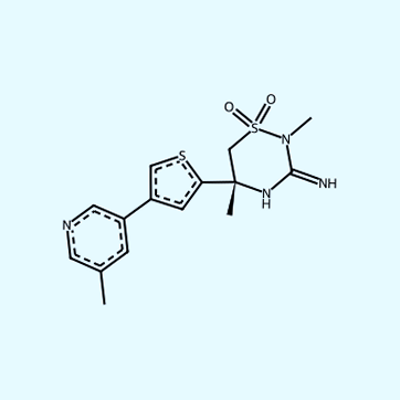 Cc1cncc(-c2csc([C@]3(C)CS(=O)(=O)N(C)C(=N)N3)c2)c1